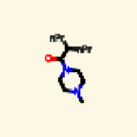 CCCC(CCC)C(=O)N1CCN(C)CC1